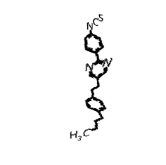 CCCCc1ccc(CCc2cnc(-c3ccc(N=C=S)cc3)nc2)cc1